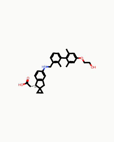 Cc1cc(OCCO)cc(C)c1-c1cccc(CNc2ccc3c(c2)CC2(CC2)[C@@H]3CC(=O)O)c1C